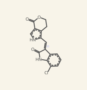 O=C1Nc2c(Cl)cccc2/C1=C/c1[nH]cc2c1CCOC2=O